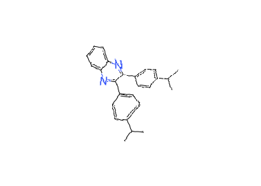 CC(C)c1ccc(-c2nc3ccccc3nc2-c2ccc(C(C)C)cc2)cc1